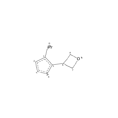 CC(C)c1ccsc1C1COC1